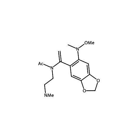 C=C(c1cc2c(cc1N(C)OC)OCO2)N(CCNC)C(C)=O